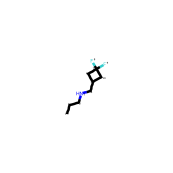 CCCNCC1CC(F)(F)C1